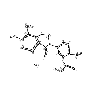 COC(=O)c1cc(C2NCc3c(ccc(OC)c3OC)C2=O)ccc1OC.Cl